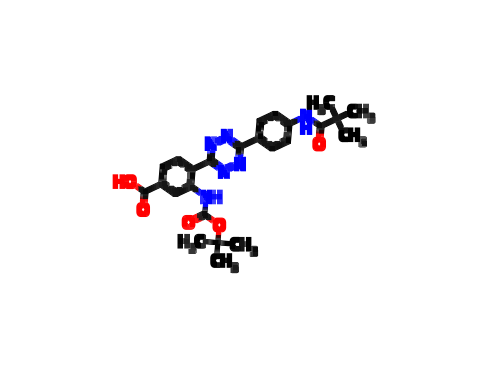 CC(C)(C)OC(=O)Nc1cc(C(=O)O)ccc1-c1nnc(-c2ccc(NC(=O)C(C)(C)C)cc2)nn1